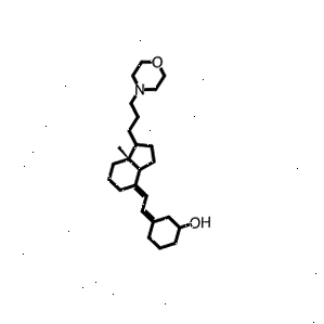 C[C@]12CCC/C(=C\C=C3\CCCC(O)C3)C1CCC2CCCN1CCOCC1